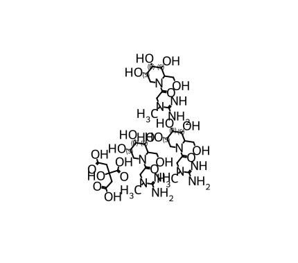 CN(CC(=O)N1C[C@H](O)[C@@H](O)[C@@H](O)C1CO)C(=N)N.CN(CC(=O)N1C[C@H](O)[C@@H](O)[C@@H](O)C1CO)C(=N)N.CN(CC(=O)N1C[C@H](O)[C@@H](O)[C@@H](O)C1CO)C(=N)N.O=C(O)CC(O)(CC(=O)O)C(=O)O